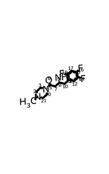 CN1CCN(C(=O)C[C@H](N)Cc2cc(F)c(F)cc2F)CC1